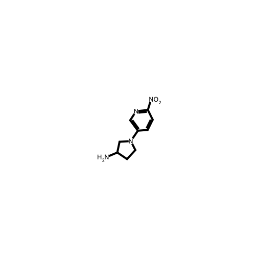 NC1CCN(c2ccc([N+](=O)[O-])nc2)C1